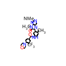 CNc1ncc2nc(-c3cc(NC(=O)c4ccc(N5CCOCC5)c(C(F)(F)F)c4)ccc3C)c(=O)n(C)c2n1